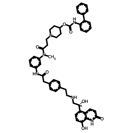 CN(C(=O)CCN1CCC(OC(=O)Nc2ccccc2-c2ccccc2)CC1)c1cccc(NC(=O)Cc2ccc(CCNC[C@H](O)c3ccc(O)c4[nH]c(=O)ccc34)cc2)c1